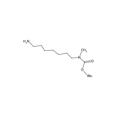 CN(CCCCCCCN)C(=O)OC(C)(C)C